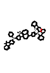 CC1(C)c2ccccc2-c2ccc(N(c3ccccc3)c3ccc4c(c3)[Si](C)(C)c3cccc5c(-c6ccc(N(c7ccccc7-c7ccccc7)c7cccc8c7oc7ccccc78)cc6)ccc-4c35)cc21